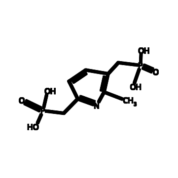 Cc1nc(CP(=O)(O)O)ccc1CP(=O)(O)O